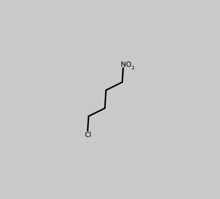 O=[N+]([O-])CCCCCl